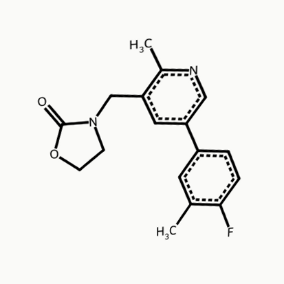 Cc1cc(-c2cnc(C)c(CN3CCOC3=O)c2)ccc1F